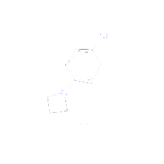 Nc1ccc(N2CC[C@H]2C(=O)O)cc1